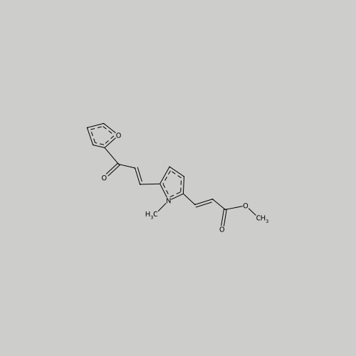 COC(=O)/C=C/c1ccc(/C=C/C(=O)c2ccco2)n1C